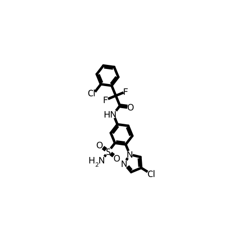 NS(=O)(=O)c1cc(NC(=O)C(F)(F)c2ccccc2Cl)ccc1-n1cc(Cl)cn1